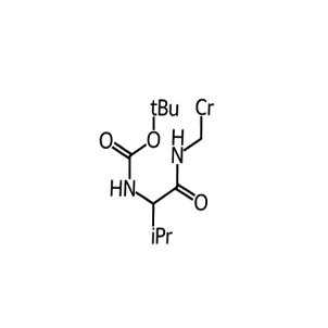 CC(C)C(NC(=O)OC(C)(C)C)C(=O)N[CH2][Cr]